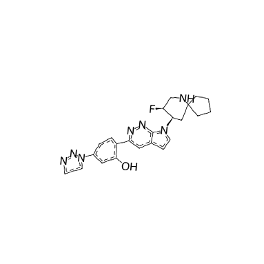 Oc1cc(-n2ccnn2)ccc1-c1cc2ccn([C@@H]3CC4(CCCC4)NC[C@@H]3F)c2nn1